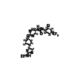 CCNc1ncc(-c2ccc(Oc3ncc(NC(=O)Nc4ccc(C(F)(F)F)cc4Cl)cn3)cc2)s1